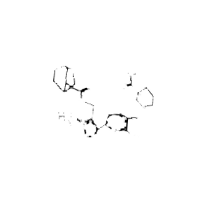 Cc1nc(-c2cnn(C)c2COC(=O)C2CC3CCC2CO3)ccc1O[C@H]1CCC[C@H](C(=O)O)C1